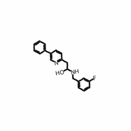 OC(Cc1ccc(-c2ccccc2)cn1)NCc1cccc(F)c1